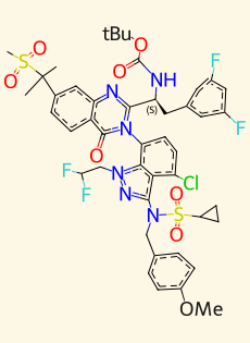 COc1ccc(CN(c2nn(CC(F)F)c3c(-n4c([C@H](Cc5cc(F)cc(F)c5)NC(=O)OC(C)(C)C)nc5cc(C(C)(C)S(C)(=O)=O)ccc5c4=O)ccc(Cl)c23)S(=O)(=O)C2CC2)cc1